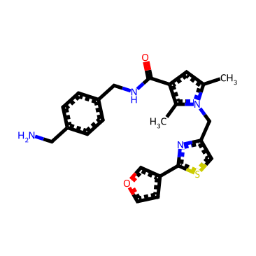 Cc1cc(C(=O)NCc2ccc(CN)cc2)c(C)n1Cc1csc(-c2ccoc2)n1